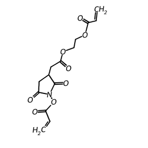 C=CC(=O)OCCOC(=O)CC1CC(=O)N(OC(=O)C=C)C1=O